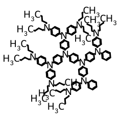 CCCCN(CCCC)c1ccc(N(c2ccccc2)c2ccc(N(c3ccc(N(c4ccccc4)c4ccc(N(CCCC)CCCC)cc4)cc3)c3ccc(N(c4ccc(N(c5ccc(N(CCCC)CCCC)cc5)c5ccc(N(CCCC)CCCC)cc5)cc4)c4ccc(N(c5ccc(N(CCCC)CCCC)cc5)c5ccc(N(CCCC)CCCC)cc5)cc4)cc3)cc2)cc1